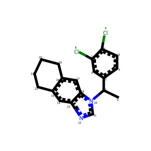 CC(c1ccc(Cl)c(Cl)c1)n1cnc2cc3c(cc21)CCCC3